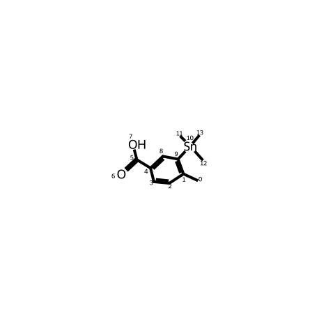 Cc1ccc(C(=O)O)c[c]1[Sn]([CH3])([CH3])[CH3]